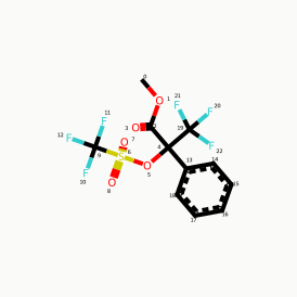 COC(=O)C(OS(=O)(=O)C(F)(F)F)(c1ccccc1)C(F)(F)F